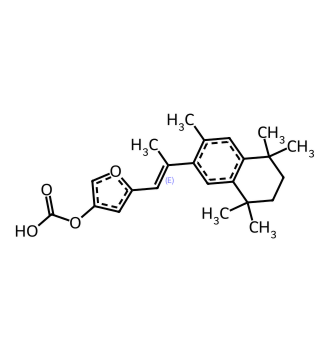 C/C(=C\c1cc(OC(=O)O)co1)c1cc2c(cc1C)C(C)(C)CCC2(C)C